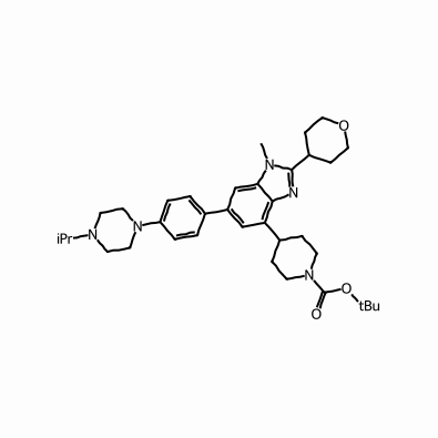 CC(C)N1CCN(c2ccc(-c3cc(C4CCN(C(=O)OC(C)(C)C)CC4)c4nc(C5CCOCC5)n(C)c4c3)cc2)CC1